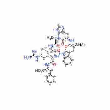 CC(=O)N[C@@H](Cc1c[nH]c2ccccc12)C(=O)N[C@@H](Cc1c[nH]cn1)C(=O)N[C@@H](C)C(=O)N[C@@H](CC(C)C)C(=O)N[C@@H](CCCNC(=N)N)C(=O)N[C@@H](Cc1ccccc1)C(=O)O